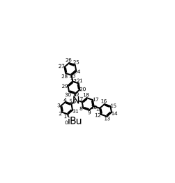 CCC(C)c1cccc(N(c2ccc(-c3ccccc3)cc2)c2ccc(-c3ccccc3)cc2)c1